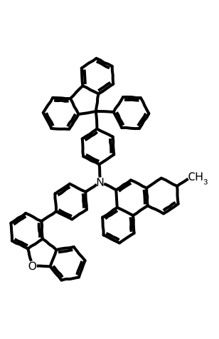 CC1C=Cc2c(cc(N(c3ccc(-c4cccc5oc6ccccc6c45)cc3)c3ccc(C4(c5ccccc5)c5ccccc5-c5ccccc54)cc3)c3ccccc23)C1